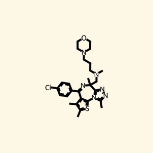 Cc1sc2c(c1C)C(c1ccc(Cl)cc1)=NC(C)(CN(C)CCCN1CCOCC1)c1nnc(C)n1-2